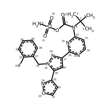 CC(C)(C)N(C(=O)OS(N)(=O)=O)c1ccnc(-c2cc(-c3ccon3)n(Cc3ccccc3F)n2)n1